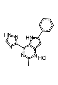 Cc1nc(-c2nc[nH]n2)c2[nH]c(-c3ccccc3)cc2n1.Cl